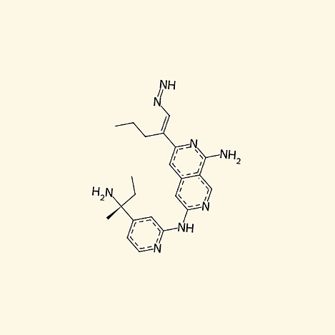 CCC/C(=C\N=N)c1cc2cc(Nc3cc([C@](C)(N)CC)ccn3)ncc2c(N)n1